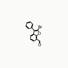 O=Cc1cccc2c(-c3ccccc3)c(Br)oc12